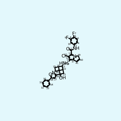 O=C(Nc1ccc(F)c(F)c1)c1c(Cl)c(SNC2C3CCC34C2CC4(O)c2cc(-c3ccccc3)on2)c2n1CC=C2